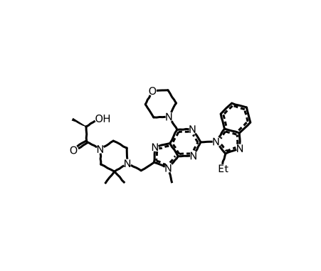 CCc1nc2ccccc2n1-c1nc(N2CCOCC2)c2nc(CN3CCN(C(=O)[C@@H](C)O)CC3(C)C)n(C)c2n1